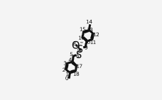 Cc1ccc(CS[S+]([O-])Cc2ccc(C)cc2)cc1